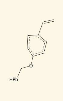 C=Cc1ccc(O[CH2][PbH])cc1